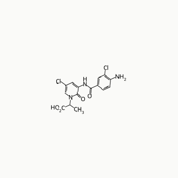 CC(C(=O)O)n1cc(Cl)cc(NC(=O)c2ccc(N)c(Cl)c2)c1=O